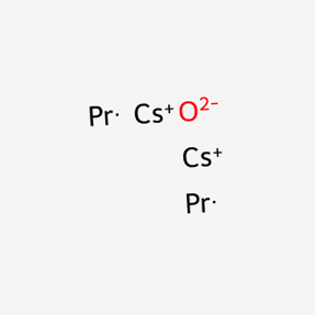 [Cs+].[Cs+].[O-2].[Pr].[Pr]